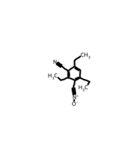 CCc1cc(CC)c(C#[N+][O-])c(CC)c1C#N